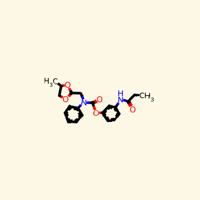 CCC(=O)Nc1cccc(OC(=O)N(CC2OCC(C)O2)c2ccccc2)c1